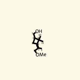 COC/C(C)=C1\CC(CO)C1(C)C